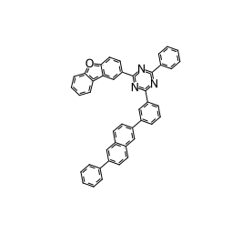 c1ccc(-c2ccc3cc(-c4cccc(-c5nc(-c6ccccc6)nc(-c6ccc7oc8ccccc8c7c6)n5)c4)ccc3c2)cc1